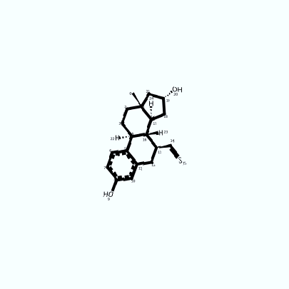 C[C@]12CC[C@@H]3c4ccc(O)cc4C[C@H](C=S)[C@H]3[C@@H]1C[C@@H](O)C2